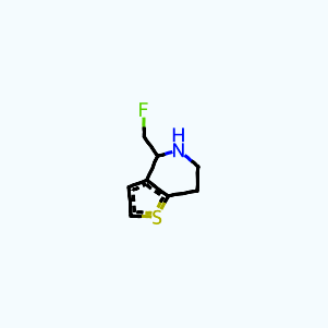 FCC1NCCc2sccc21